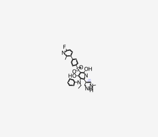 CCN(c1ccccc1)c1c(/C(C=N)=C/NC)nc(O)c(S(=O)(=O)c2ccc(-c3ccc(F)nc3C)cc2)c1O